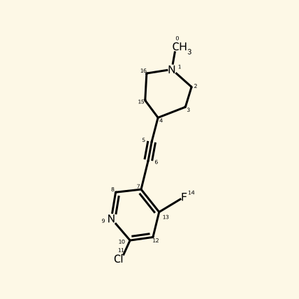 CN1CCC(C#Cc2cnc(Cl)cc2F)CC1